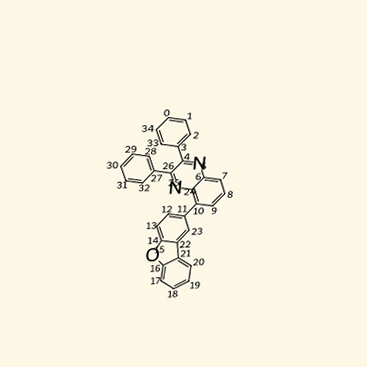 c1ccc(-c2nc3cccc(-c4ccc5oc6ccccc6c5c4)c3nc2-c2ccccc2)cc1